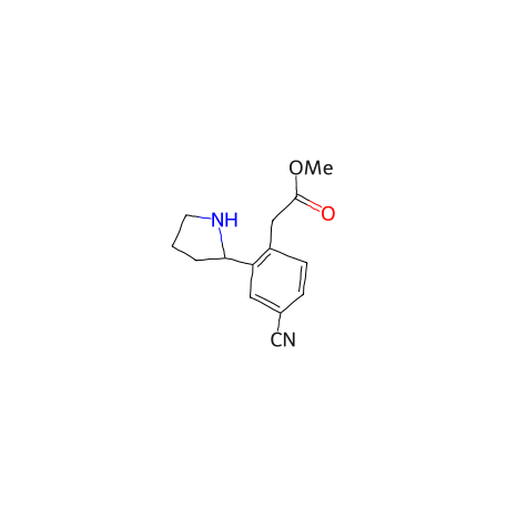 COC(=O)Cc1ccc(C#N)cc1C1CCCN1